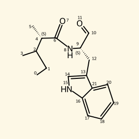 CCC(C)[C@H](C)C(=O)N[C@H](C=O)Cc1c[nH]c2ccccc12